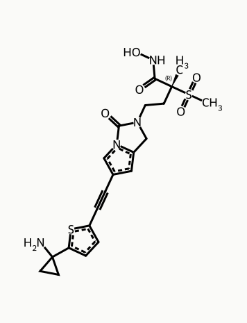 C[C@@](CCN1Cc2cc(C#Cc3ccc(C4(N)CC4)s3)cn2C1=O)(C(=O)NO)S(C)(=O)=O